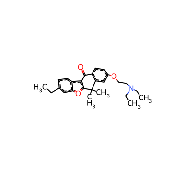 CCc1ccc2c3c(oc2c1)C(C)(C)c1cc(OCCN(CC)CC)ccc1C3=O